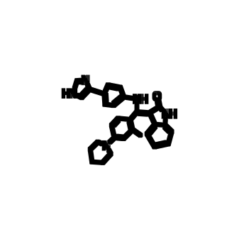 Cc1cc(N2CCCCC2)ccc1C(Nc1ccc(-c2c[nH]cn2)cc1)=C1C(=O)Nc2ccccc21